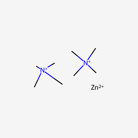 C[N+](C)(C)C.C[N+](C)(C)C.[Zn+2]